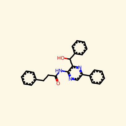 O=C(CCc1ccccc1)Nc1ncc(-c2ccccc2)nc1C(O)c1ccccc1